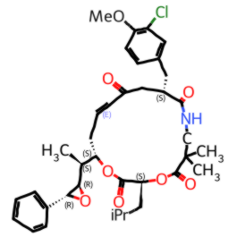 COc1ccc(C[C@H]2CC(=O)/C=C/C[C@@H]([C@H](C)[C@H]3O[C@@H]3c3ccccc3)OC(=O)[C@H](CC(C)C)OC(=O)C(C)(C)CNC2=O)cc1Cl